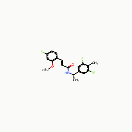 CCCCOc1cc(F)ccc1/C=C/C(=O)N[C@H](C)c1cc(F)c(C)c(F)c1